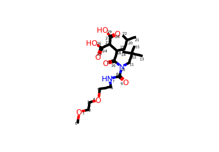 COCCOCCNC(=O)N(CC(C)(C)C)C(=O)C(CC(C)C)C(C(=O)O)C(=O)O